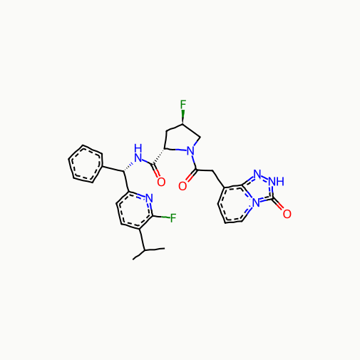 CC(C)c1ccc([C@@H](NC(=O)[C@@H]2C[C@@H](F)CN2C(=O)Cc2cccn3c(=O)[nH]nc23)c2ccccc2)nc1F